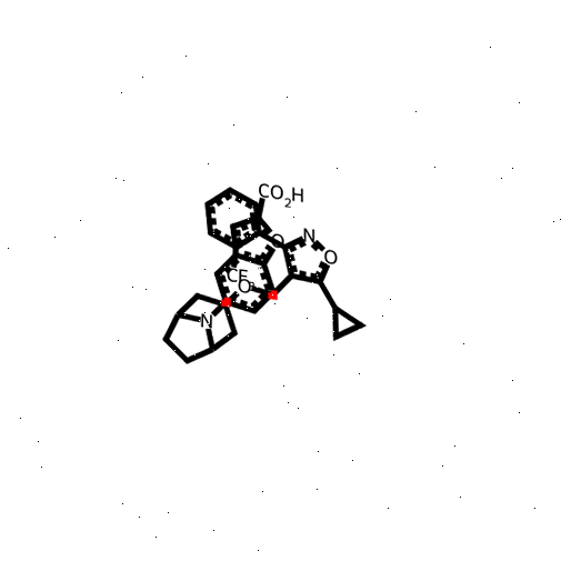 O=C(O)c1cc2cc(N3C4CCC3CC(OCc3c(-c5ccccc5C(F)(F)F)noc3C3CC3)C4)ccc2o1